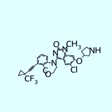 Cn1c(=O)nc(N2CCOCc3c(C#CC4(C(F)(F)F)CC4)cccc32)c2cc(Cl)c(OC3CCNC3)cc21